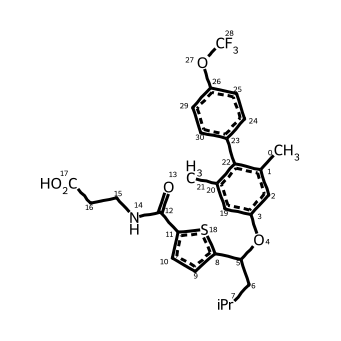 Cc1cc(OC(CC(C)C)c2ccc(C(=O)NCCC(=O)O)s2)cc(C)c1-c1ccc(OC(F)(F)F)cc1